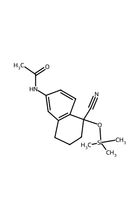 CC(=O)Nc1ccc2c(c1)CCCC2(C#N)O[Si](C)(C)C